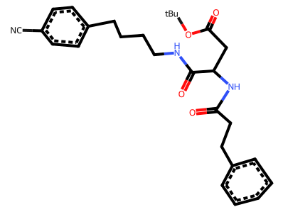 CC(C)(C)OC(=O)CC(NC(=O)CCc1ccccc1)C(=O)NCCCCc1ccc(C#N)cc1